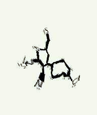 N#CC1=C(N)SC(=C=S)C=C1c1ccc(Cl)cc1